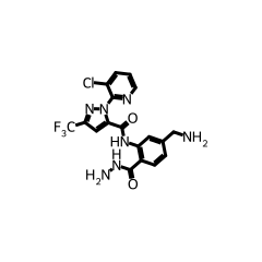 NCc1ccc(C(=O)NN)c(NC(=O)c2cc(C(F)(F)F)nn2-c2ncccc2Cl)c1